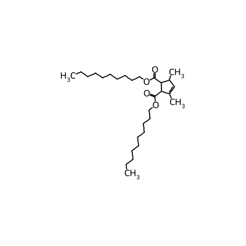 CCCCCCCCCCOC(=O)C1C(C)=CC(C)C1C(=O)OCCCCCCCCCC